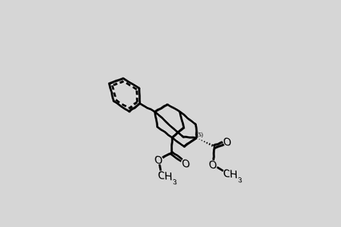 COC(=O)C12CC3CC(c4ccccc4)(C1)C[C@@](C(=O)OC)(C3)C2